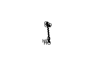 CC(=O)OC(=O)C(CCCCCCCCCCOCC(O)CO)C(C)=O